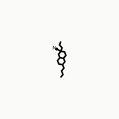 CCCCC1CCC2CC(C#N)(CCC)CCC2C1